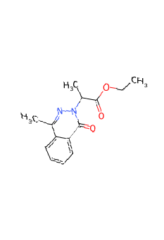 CCOC(=O)C(C)n1nc(C)c2ccccc2c1=O